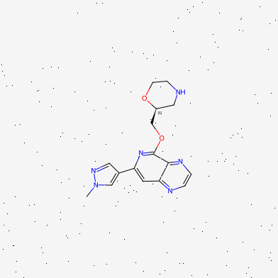 Cn1cc(-c2cc3nccnc3c(OC[C@@H]3CNCCO3)n2)cn1